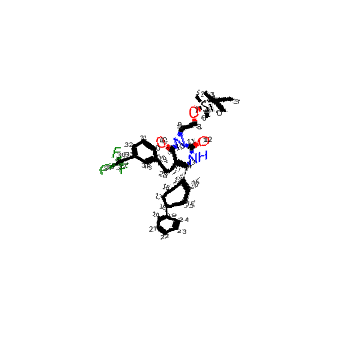 CC(C)(C)[Si](C)(C)OCCn1c(=O)[nH]c([C@H]2CC[C@H](c3ccccc3)CC2)c(Cc2cccc(C(F)(F)F)c2)c1=O